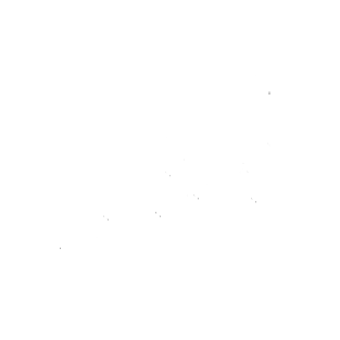 COc1cc(-c2c[nH]c3ccc(-c4c(F)cccc4F)cc23)nc(NC2CCCN(C(=O)OC(C)(C)C)C2)n1